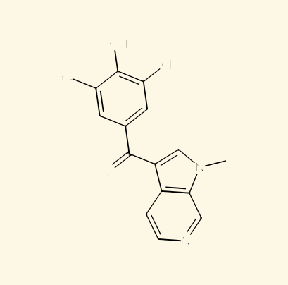 Cn1cc(C(=O)c2cc(Cl)c(O)c(Cl)c2)c2ccncc21